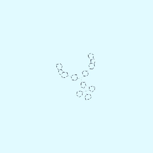 c1ccc(C2(c3ccccc3)c3ccccc3-c3cc(N(c4ccc(-c5ccc6sc7ccccc7c6c5)cc4)c4ccc(-c5ccc6sc7ccccc7c6c5)cc4)ccc32)cc1